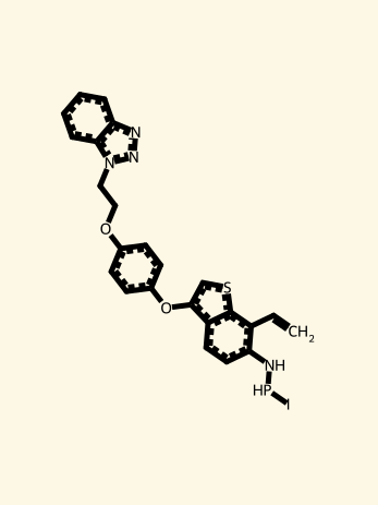 C=Cc1c(NPI)ccc2c(Oc3ccc(OCCn4nnc5ccccc54)cc3)csc12